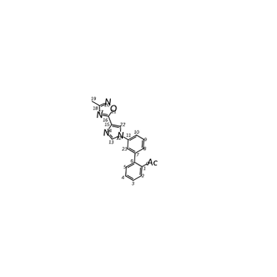 CC(=O)c1ccccc1-c1cccc(-n2cnc(-c3nc(C)no3)c2)c1